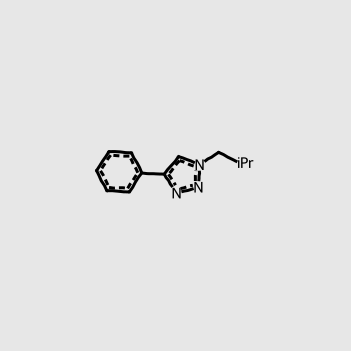 CC(C)Cn1cc(-c2ccccc2)nn1